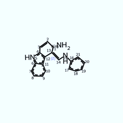 N[C@H]1C=Cc2[nH]c3ccccc3c2/C1=C/Nc1ccccc1